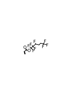 C=CC(=O)OC(F)(F)C(F)(F)C(F)CCC(F)(F)F